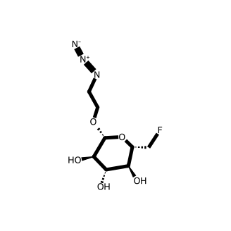 [N-]=[N+]=NCCO[C@@H]1O[C@H](CF)[C@@H](O)[C@H](O)[C@H]1O